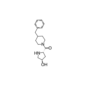 O=C([C@@H]1C[C@@H](O)CN1)N1CCC(Cc2ccccc2)CC1